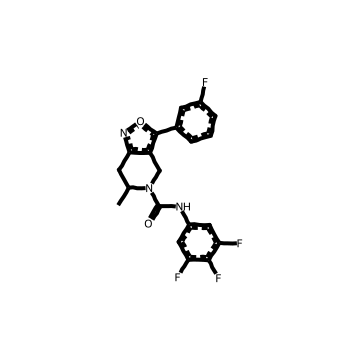 CC1Cc2noc(-c3cccc(F)c3)c2CN1C(=O)Nc1cc(F)c(F)c(F)c1